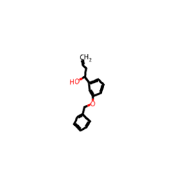 C=CCC(O)c1cccc(OCc2ccccc2)c1